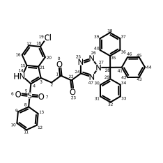 O=C(Cc1c(S(=O)(=O)c2ccccc2)[nH]c2ccc(Cl)cc12)C(=O)c1nnn(C(c2ccccc2)(c2ccccc2)c2ccccc2)n1